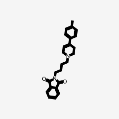 Cc1ccc(C2=CCN(CCCCN3C(=O)c4ccccc4C3=O)CC2)cc1